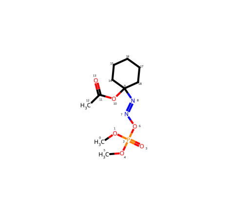 COP(=O)(OC)ON=NC1(OC(C)=O)CCCCC1